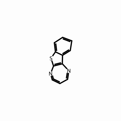 C1=CC=Nc2c(sc3ccccc23)N=1